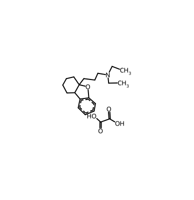 CCN(CC)CCCC12CCCCC1c1ccccc1O2.O=C(O)C(=O)O